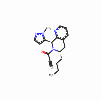 C#CC(=O)N1[C@@H](CCCC)Cc2cccnc2[C@@H]1c1ccnn1C